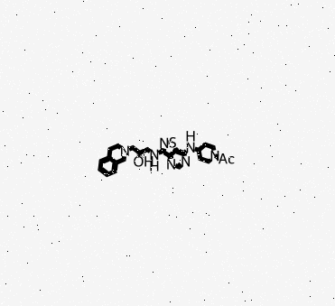 CC(=O)N1CCC(Nc2ncnc3c(NC[C@@H](O)CN4CCc5ccccc5C4)nsc23)CC1